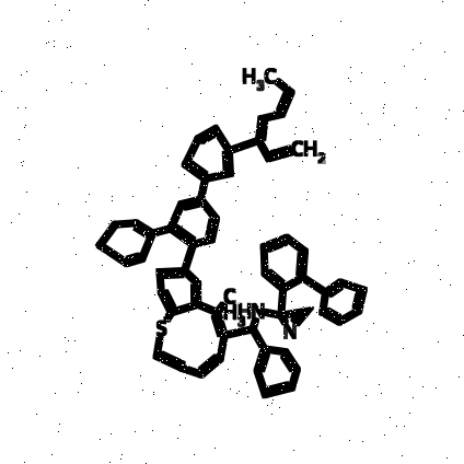 C=C/C(=C\C=C/C)c1cccc(-c2ccc(-c3ccc4sccccc(C(NC5(c6ccccc6-c6ccccc6)C=N5)c5ccccc5)c(C)c4c3)c(C3=CCCC=C3)c2)c1